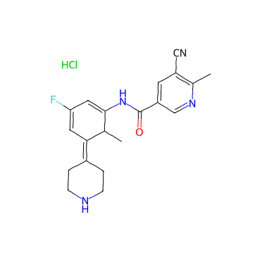 Cc1ncc(C(=O)NC2=CC(F)=CC(=C3CCNCC3)C2C)cc1C#N.Cl